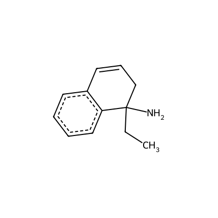 CCC1(N)CC=Cc2ccccc21